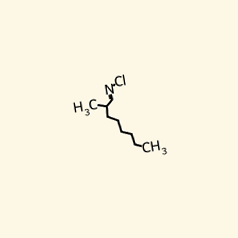 CCCCCCC(C)C=NCl